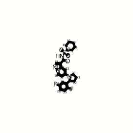 O=C(NS(=O)(=O)N1CCCCC1)c1cnn2ccc(N3CCCC3c3cc(F)ccc3F)cc12